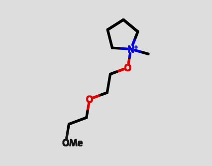 COCCOCCO[N+]1(C)CCCC1